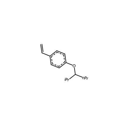 C=Cc1ccc(OC(CCC)C(C)C)cc1